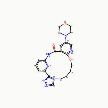 O=C1Nc2cccc(n2)-c2nncn2CCCCOc2ncc(N3CCOCC3)cc21